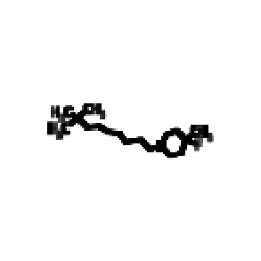 CC(C)(C)CCCCCCCN1CCC(C)(F)CC1